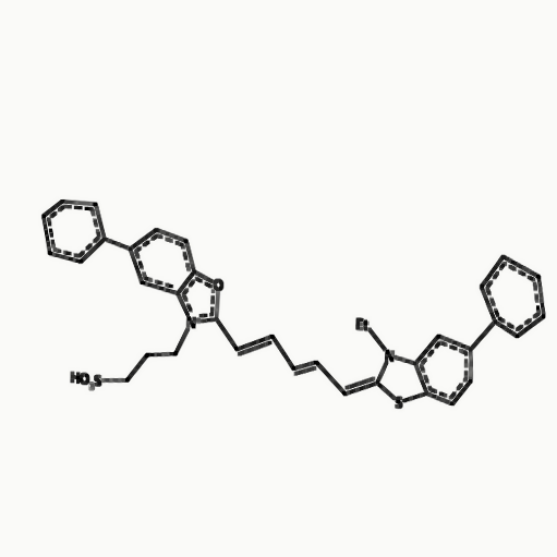 CCN1C(=CC=CC=Cc2oc3ccc(-c4ccccc4)cc3[n+]2CCCS(=O)(=O)O)Sc2ccc(-c3ccccc3)cc21